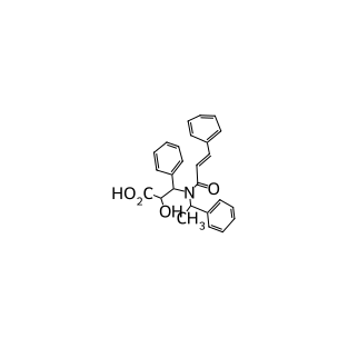 CC(c1ccccc1)N(C(=O)C=Cc1ccccc1)C(c1ccccc1)C(O)C(=O)O